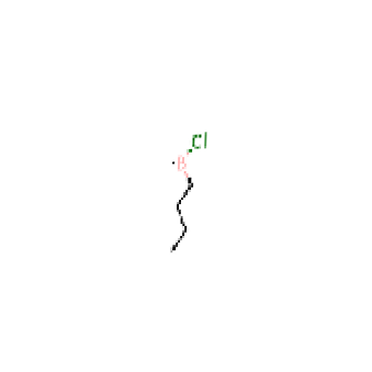 CCCC[B]Cl